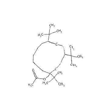 CC(=O)OC1(C(C)(C)C)CCCCCC(C(C)(C)C)CCC(C(C)(C)C)CC1